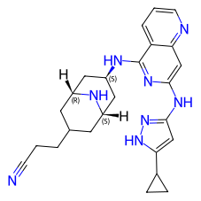 N#CCCC1C[C@@H]2C[C@@H](Nc3nc(Nc4cc(C5CC5)[nH]n4)cc4ncccc34)C[C@H](C1)N2